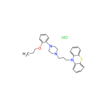 CCCOc1ccccc1N1CCN(CCCN2c3ccccc3Sc3ccccc32)CC1.Cl